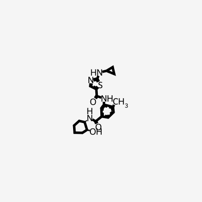 Cc1ccc(C(=O)N[C@H]2CCCC[C@@H]2O)cc1NC(=O)c1cnc(NC2CC2)s1